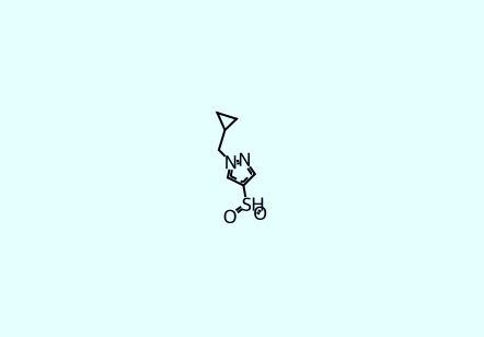 O=[SH](=O)c1cnn(CC2CC2)c1